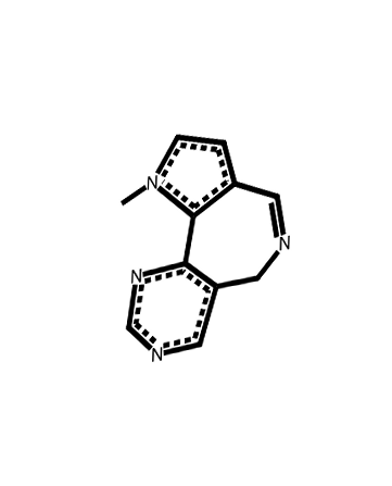 Cn1ccc2c1-c1ncncc1CN=C2